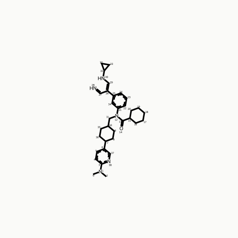 CN(C)c1ccc(C2CCC(CN(C(=O)C3CCCCC3)c3cccc(/C(C=N)=C/NC4CC4)c3)CC2)cn1